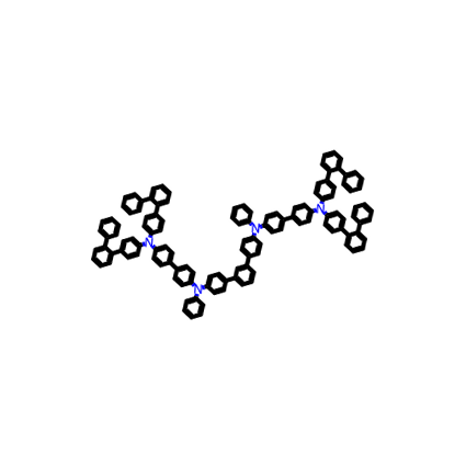 c1ccc(-c2ccccc2-c2ccc(N(c3ccc(-c4ccc(N(c5ccccc5)c5ccc(-c6cccc(-c7ccc(N(c8ccccc8)c8ccc(-c9ccc(N(c%10ccc(-c%11ccccc%11-c%11ccccc%11)cc%10)c%10ccc(-c%11ccccc%11-c%11ccccc%11)cc%10)cc9)cc8)cc7)c6)cc5)cc4)cc3)c3ccc(-c4ccccc4-c4ccccc4)cc3)cc2)cc1